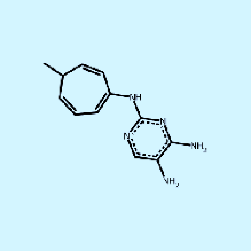 CC1C=CC=C(Nc2ncc(N)c(N)n2)C=C1